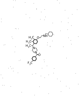 Cc1c(OCCNCC2CCCCC2)ccc(C(C)N2CCN(C(=O)c3ccc(C(F)(F)F)cc3)CC2)c1C